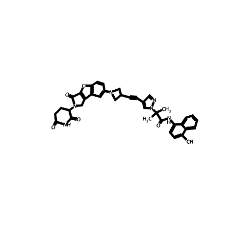 CC(C)(C(=O)Nc1ccc(C#N)c2ccccc12)n1cc(C#CC2CN(c3ccc4oc5c(c4c3)CN(C3CCC(=O)NC3=O)C5=O)C2)cn1